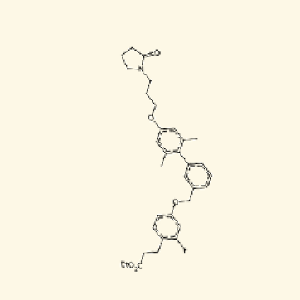 CCOC(=O)CCc1ccc(OCc2cccc(-c3c(C)cc(OCCCN4CCCC4=O)cc3C)c2)cc1F